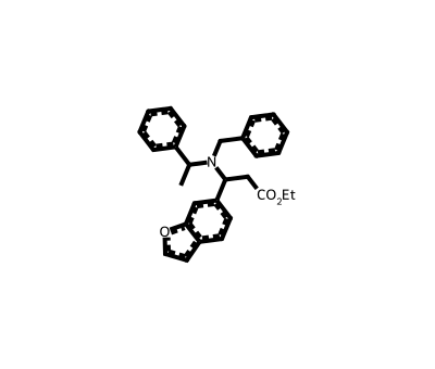 CCOC(=O)CC(c1ccc2ccoc2c1)N(Cc1ccccc1)C(C)c1ccccc1